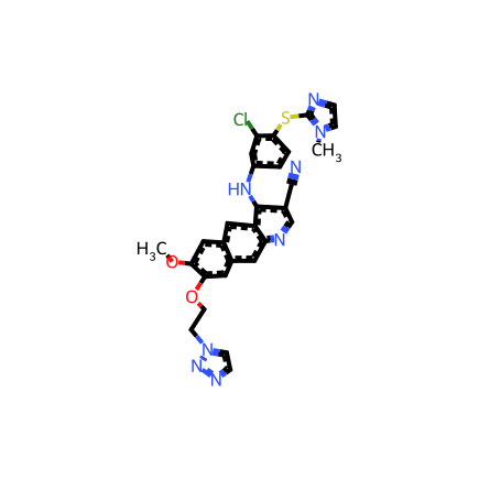 COc1cc2cc3c(Nc4ccc(Sc5nccn5C)c(Cl)c4)c(C#N)cnc3cc2cc1OCCn1ccnn1